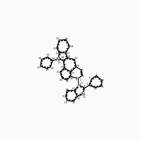 C1=CN(n2c(-c3ccccc3)nc3ccccc32)c2cccc3c2c1cc1c2ccccc2n(-c2ccccc2)c31